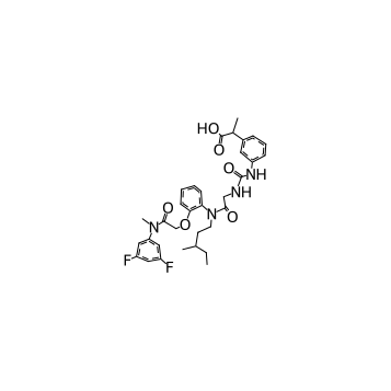 CCC(C)CCN(C(=O)CNC(=O)Nc1cccc(C(C)C(=O)O)c1)c1ccccc1OCC(=O)N(C)c1cc(F)cc(F)c1